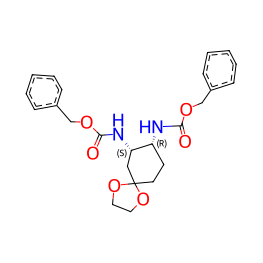 O=C(N[C@H]1CC2(CC[C@H]1NC(=O)OCc1ccccc1)OCCO2)OCc1ccccc1